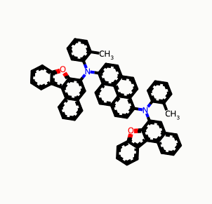 Cc1ccccc1N(c1ccc2ccc3c(N(c4ccccc4C)c4cc5ccccc5c5c4oc4ccccc45)ccc4ccc1c2c43)c1cc2ccccc2c2c1oc1ccccc12